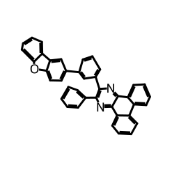 c1ccc(-c2nc3c4ccccc4c4ccccc4c3nc2-c2cccc(-c3ccc4oc5ccccc5c4c3)c2)cc1